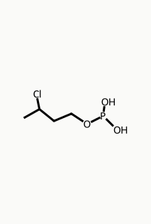 CC(Cl)CCOP(O)O